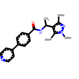 CNc1nn(NC)c(NC)c1C(C)NC(=O)c1ccc(-c2ccncc2)cc1